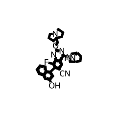 N#Cc1cc2c(N3CC4CCC(C3)N4)nc(OCC34CCCN3CCC4)nc2c(F)c1-c1cc(O)cc2ccccc12